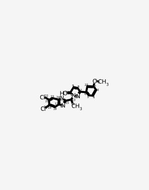 COc1cccc(-c2ccc(=O)n(C(C)c3nc4cc(Cl)c(Cl)cc4[nH]3)n2)c1